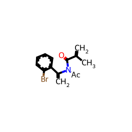 C=C(C)C(=O)N(C(=C)c1ccccc1Br)C(C)=O